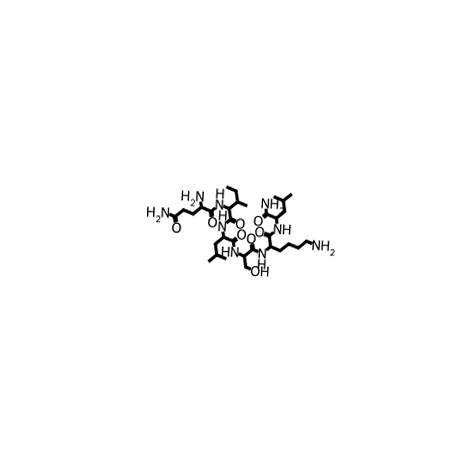 CCC(C)C(NC(=O)C(N)CCC(N)=O)C(=O)NC(CC(C)C)C(=O)NC(CO)C(=O)NC(CCCCN)C(=O)NC(CC(C)C)C(N)=O